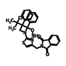 CC(C)(C)C1(c2ccccc2)CN(c2nc(CN3C(=O)c4ccccc4C3=O)cs2)C1(O[SiH3])c1ccccc1